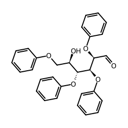 O=C[C@H](Oc1ccccc1)[C@@H](Oc1ccccc1)[C@H](Oc1ccccc1)[C@H](O)COc1ccccc1